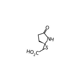 O=C1CC[C@@]2(N1)SC2C(=O)O